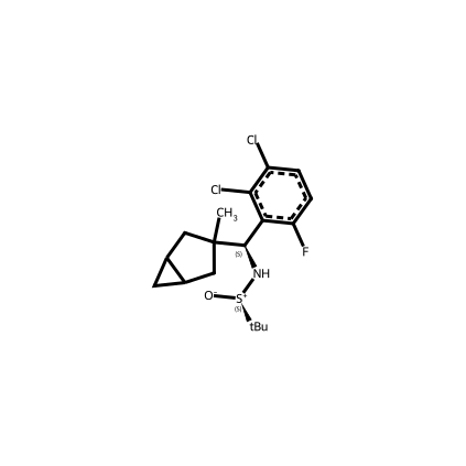 CC1([C@H](N[S@+]([O-])C(C)(C)C)c2c(F)ccc(Cl)c2Cl)CC2CC2C1